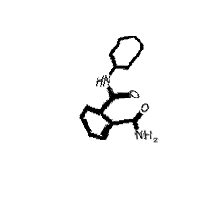 NC(=O)c1ccccc1C(=O)NC1CCCCC1